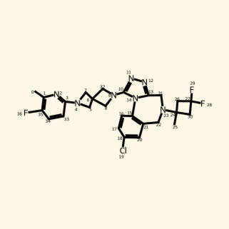 Cc1nc(N2CC3(C2)CN(c2nnc4n2-c2ccc(Cl)cc2CN(C2(C)CC(F)(F)C2)C4)C3)ccc1F